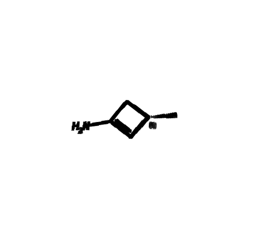 C[C@@H]1C=C(N)C1